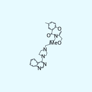 COCC1=COc2ccc(C)cc2C(=O)N1CCCCN1CCN(c2ncnc3ccccc23)CC1